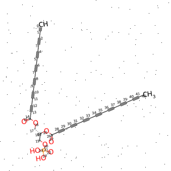 C#CC#CC#CC#CC#CC#CC#CC(=O)OC[C@@H](COP(=O)(O)O)OC(=O)C#CC#CC#CC#CC#CC#CC#CC